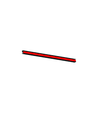 S=S=S=S=S=S=S=S=S=S=S=S=S=S=S=S=S=S=S=S=S=S=S=S=S=S=S=S=S=S=S=S=S=S=S=S=S=S=S=S=S=S=S=S=S=S=S=S=S=S=S=S=S=S=S=S=S=S=S=S=S=S=S=S=S=S=S=S=S=S=S=S=S=S=S=S=S=S=S=S=S=S=S=S=S=S=S=S=S=S=S=S=S=S=S=S=S